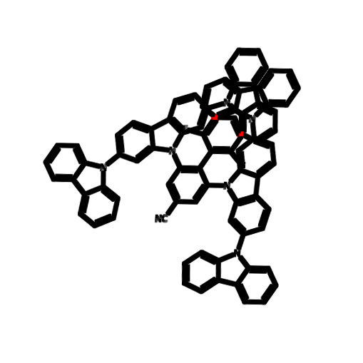 N#Cc1cc(-n2c3cc(-n4c5ccccc5c5ccccc54)ccc3c3ccc(-n4c5ccccc5c5ccccc54)cc32)c(-c2c(F)cccc2F)c(-n2c3cc(-n4c5ccccc5c5ccccc54)ccc3c3ccc(-n4c5ccccc5c5ccccc54)cc32)c1